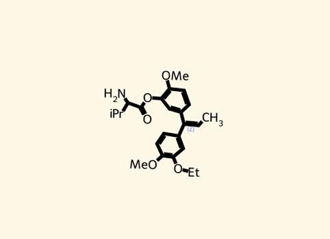 C/C=C(/c1ccc(OC)c(OCC)c1)c1ccc(OC)c(OC(=O)C(N)C(C)C)c1